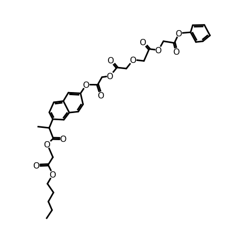 CCCCCOC(=O)COC(=O)C(C)c1ccc2cc(OC(=O)COC(=O)COCC(=O)OCC(=O)Oc3ccccc3)ccc2c1